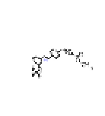 COC(=O)C1CN(Cc2ccc(/C=C/c3cccc(OC(F)(F)F)c3)cc2)C1